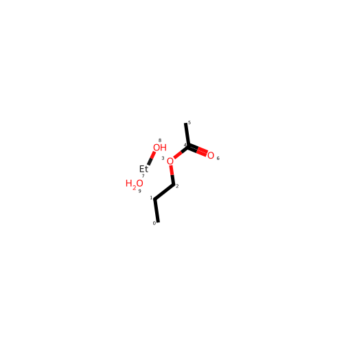 CCCOC(C)=O.CCO.O